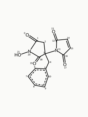 O=C1CC(Cc2ccccc2)(N2C(=O)C=CC2=O)C(=O)N1O